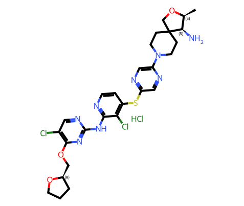 C[C@@H]1OCC2(CCN(c3cnc(Sc4ccnc(Nc5ncc(Cl)c(OC[C@H]6CCCO6)n5)c4Cl)cn3)CC2)[C@@H]1N.Cl